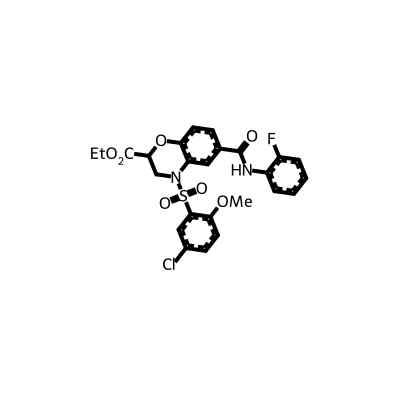 CCOC(=O)C1CN(S(=O)(=O)c2cc(Cl)ccc2OC)c2cc(C(=O)Nc3ccccc3F)ccc2O1